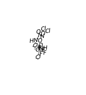 Cc1ccc(NC(=O)Cn2ncc(Cl)c(Cl)c2=O)cc1S(=O)(=O)NC(Cc1ccccc1)C(F)(F)F